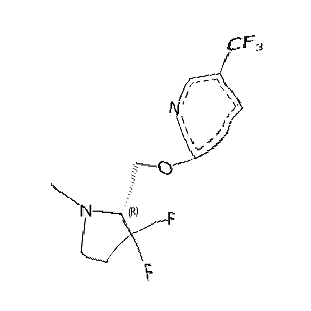 CN1CCC(F)(F)[C@H]1COc1ccc(C(F)(F)F)cn1